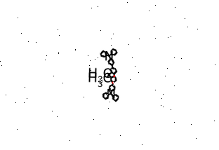 CC1(C)c2cc(-c3ccc(N(c4ccccc4)c4ccccc4)cc3)ccc2-c2ccc(-c3ccc(N(c4ccccc4)C4C=CC=CC4)cc3)cc21